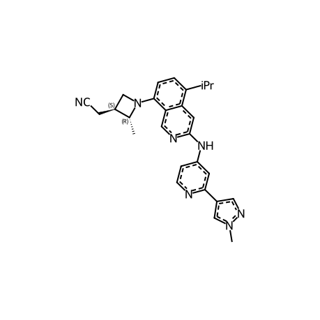 CC(C)c1ccc(N2C[C@H](CC#N)[C@H]2C)c2cnc(Nc3ccnc(-c4cnn(C)c4)c3)cc12